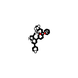 N#Cc1cnn2cc(C3=CCOCC3)cc(-c3ccc(N4CC5CC(C4)N5Cc4cnc5c(c4)OCO5)nc3)c12